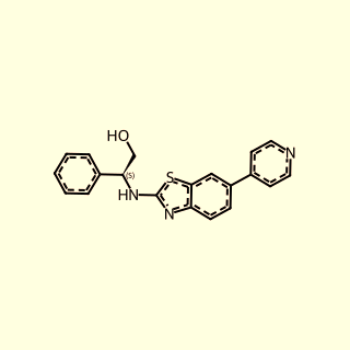 OC[C@@H](Nc1nc2ccc(-c3ccncc3)cc2s1)c1ccccc1